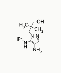 CC(C)Nc1c(N)cnn1CC(C)(C)CO